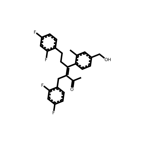 CC(=O)/C(Cc1ccc(F)cc1F)=C(/CCc1ccc(F)cc1F)c1ccc(CO)cc1C